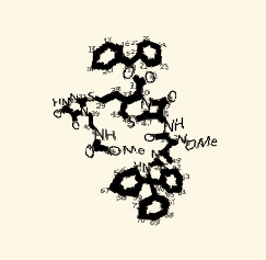 CON=C(C(=O)NC1C(=O)N2C(C(=O)OC(c3ccccc3)c3ccccc3)=C(C=CSc3n[nH]c(=O)c(=O)n3CCNC(=O)OC)CSC12)c1csc(NC(c2ccccc2)(c2ccccc2)c2ccccc2)n1